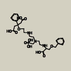 O=C(O)CC(CC(=O)O)(OCCNCCN(CCNC(COCc1ccccc1)C(=O)O)CP(=O)(O)O)c1ccccc1